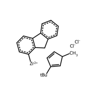 CC1C=CC(C(C)(C)C)=C1.[Cl-].[Cl-].[Zr+2][c]1cccc2c1Cc1ccccc1-2